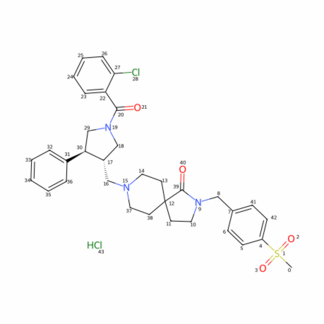 CS(=O)(=O)c1ccc(CN2CCC3(CCN(C[C@H]4CN(C(=O)c5ccccc5Cl)C[C@@H]4c4ccccc4)CC3)C2=O)cc1.Cl